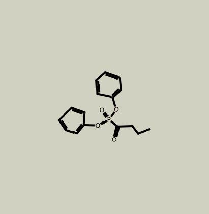 CCCC(=O)P(=O)(Oc1ccccc1)Oc1ccccc1